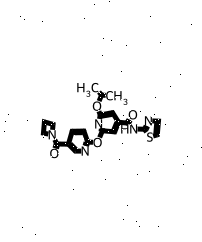 CC(C)Oc1cc(C(=O)Nc2nccs2)cc(Oc2ccc(C(=O)N3CCC3)cn2)n1